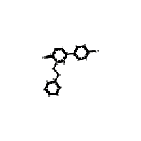 O=c1ccc(-c2ccc(Cl)cc2)nn1CCc1ccccc1